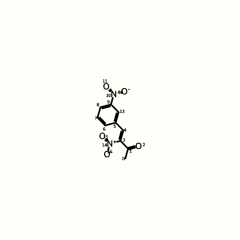 CC(=O)C(=Cc1cccc([N+](=O)[O-])c1)[N+](=O)[O-]